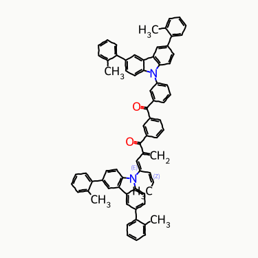 C=C(/C=C(\C=C/C)n1c2ccc(-c3ccccc3C)cc2c2cc(-c3ccccc3C)ccc21)C(=O)c1cccc(C(=O)c2cccc(-n3c4ccc(-c5ccccc5C)cc4c4cc(-c5ccccc5C)ccc43)c2)c1